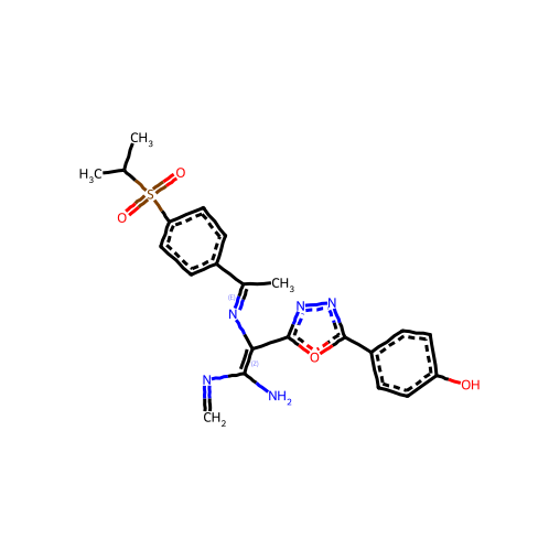 C=N/C(N)=C(\N=C(/C)c1ccc(S(=O)(=O)C(C)C)cc1)c1nnc(-c2ccc(O)cc2)o1